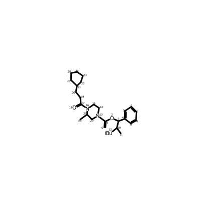 C=C(OC(c1ccccc1)C(C)C(C)CC)N1CCN(C(=O)CCC2CCCCC2)C(C)C1